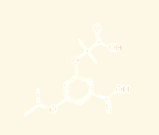 C=C(O)c1cc(OC(C)C)cc(OC(C)(C)C(=O)O)c1